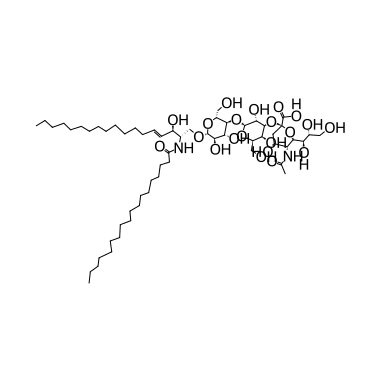 CCCCCCCCCCCCC/C=C/[C@@H](O)[C@H](CO[C@@H]1O[C@H](CO)[C@@H](O[C@@H]2O[C@H](CO)[C@H](O)[C@H](O[C@]3(C(=O)O)C[C@H](O)[C@@H](NC(C)=O)[C@H]([C@H](O)[C@H](O)CO)O3)[C@H]2O)[C@H](O)[C@H]1O)NC(=O)CCCCCCCCCCCCCCCCC